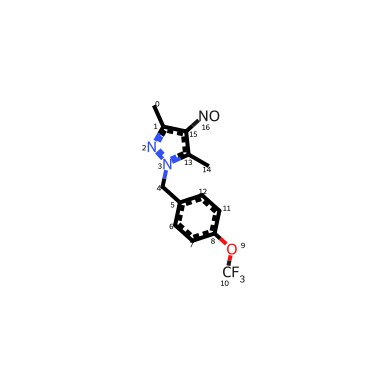 Cc1nn(Cc2ccc(OC(F)(F)F)cc2)c(C)c1N=O